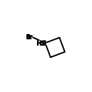 Br[SiH]1CCC1